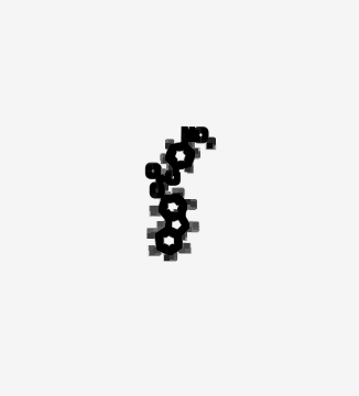 O=C(Oc1ccc([N+](=O)[O-])cc1)Oc1ccc2c(c1)-c1ccccc1C2